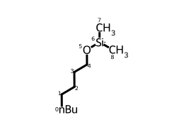 CCCCCCCCO[Si](C)C